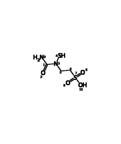 NC(=O)N(S)CCS(=O)(=O)O